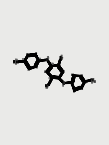 FC(F)(F)c1ccc(Oc2cc(Br)c(Oc3ccc(C(F)(F)F)cc3)cc2Br)cc1